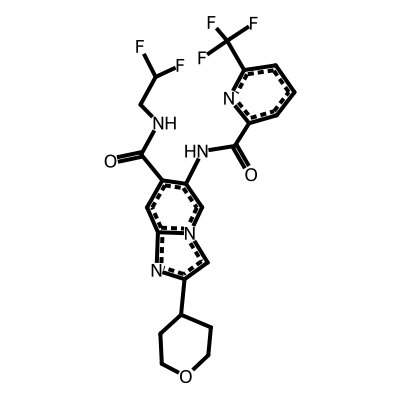 O=C(Nc1cn2cc(C3CCOCC3)nc2cc1C(=O)NCC(F)F)c1cccc(C(F)(F)F)n1